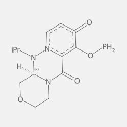 CC(C)N1[C@@H]2COCCN2C(=O)c2c(OP)c(=O)ccn21